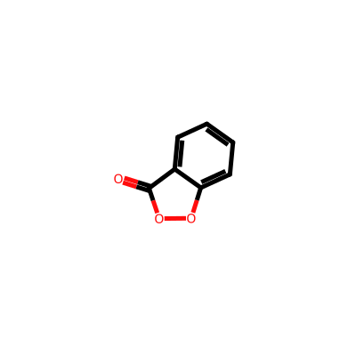 O=c1ooc2ccccc12